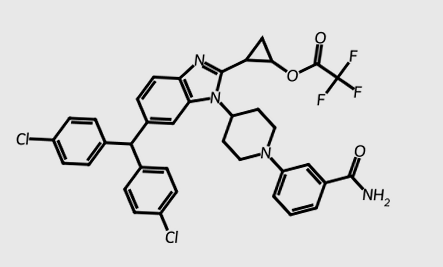 NC(=O)c1cccc(N2CCC(n3c(C4CC4OC(=O)C(F)(F)F)nc4ccc(C(c5ccc(Cl)cc5)c5ccc(Cl)cc5)cc43)CC2)c1